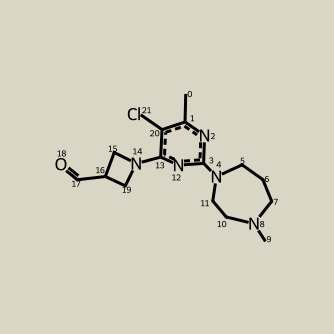 Cc1nc(N2CCCN(C)CC2)nc(N2CC(C=O)C2)c1Cl